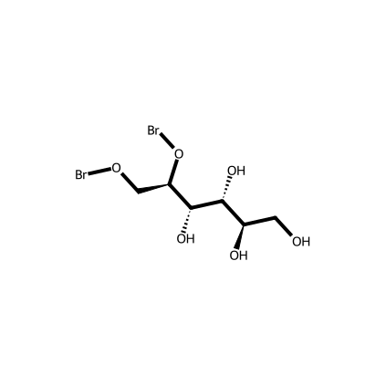 OC[C@@H](O)[C@@H](O)[C@H](O)[C@@H](COBr)OBr